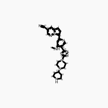 CNc1cc(-c2ccc3cc(C#N)cnn23)ncc1-c1nnc(N2CCN(C3CCNCC3)CC2)s1